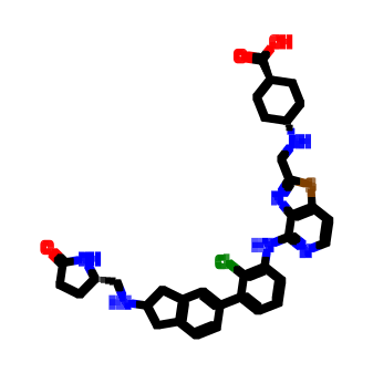 O=C1CC[C@@H](CNC2Cc3ccc(-c4cccc(Nc5nccc6sc(CN[C@H]7CC[C@H](C(=O)O)CC7)nc56)c4Cl)cc3C2)N1